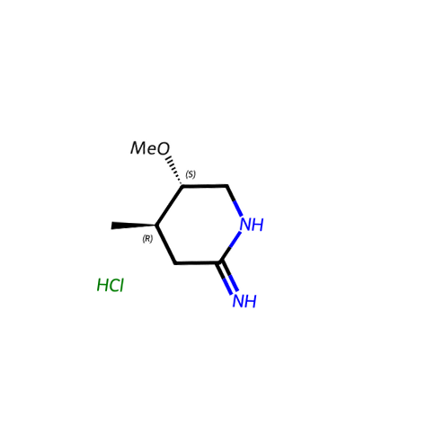 CO[C@@H]1CNC(=N)C[C@H]1C.Cl